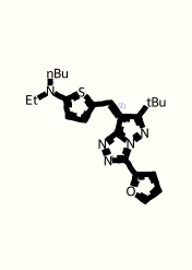 CCCCN(CC)c1ccc(/C=c2/c(C(C)(C)C)nn3c(-c4ccco4)nnc23)s1